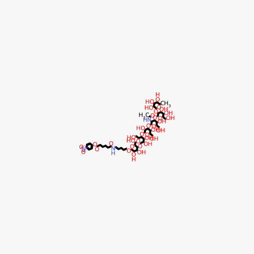 CC(=O)N[C@H]1C(O[C@@H]2OC(CO)[C@H](O)C(O)[C@@H]2O[C@@H]2OC(C)C(O)[C@H](O)[C@@H]2O)[C@@H](O)C(CO)O[C@H]1O[C@@H]1C(O)[C@@H](O[C@H]2C(CO)O[C@@H](O[C@@H]3C(CO)O[C@@H](OCCCCCNC(=O)CCCCC(=O)Oc4ccc([N+](=O)[O-])cc4)C(O)[C@H]3O)[C@@H](O)C2O)OC(CO)[C@@H]1O